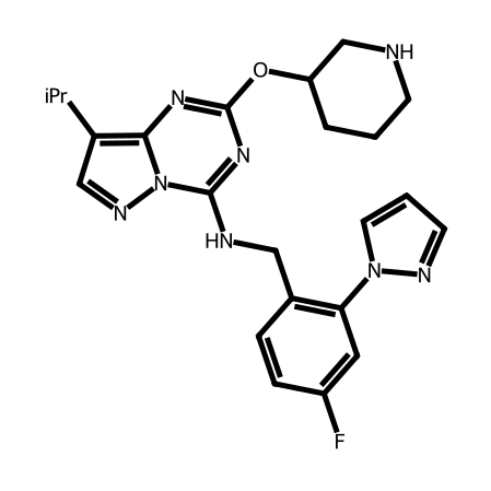 CC(C)c1cnn2c(NCc3ccc(F)cc3-n3cccn3)nc(OC3CCCNC3)nc12